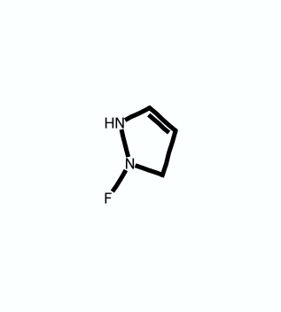 FN1CC=CN1